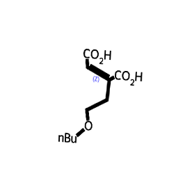 CCCCOCC/C(=C/C(=O)O)C(=O)O